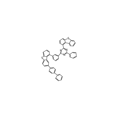 c1ccc(-c2ccc(-c3ccc4sc5cccc(-c6cccc(-c7nc(-c8ccccc8)nc(-c8cccc9sc%10ccccc%10c89)n7)c6)c5c4c3)cc2)cc1